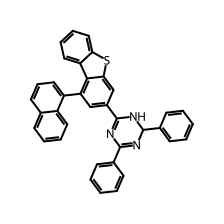 c1ccc(C2=NC(c3ccccc3)NC(c3cc(-c4cccc5ccccc45)c4c(c3)sc3ccccc34)=N2)cc1